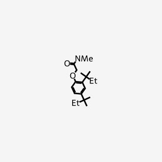 CCC(C)(C)c1ccc(OCC(=O)NC)c(C(C)(C)CC)c1